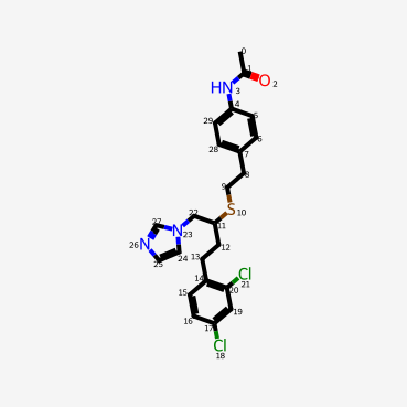 CC(=O)Nc1ccc(CCSC(CCc2ccc(Cl)cc2Cl)Cn2ccnc2)cc1